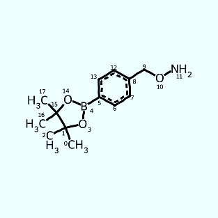 CC1(C)OB(c2ccc(CON)cc2)OC1(C)C